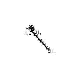 CCCCCCCCCCCCCCCCCC(CC)(CC)c1nnn[nH]1